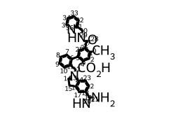 Cc1cc(C(=O)O)c(-c2ccccc2CN2CCc3cc(C(=N)N)ccc32)cc1C(=O)NCc1ccccn1